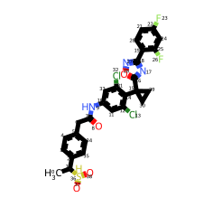 CC(c1ccc(CC(=O)Nc2cc(Cl)c(C3(c4nc(-c5ccc(F)cc5F)no4)CC3)c(Cl)c2)cc1)[SH](=O)=O